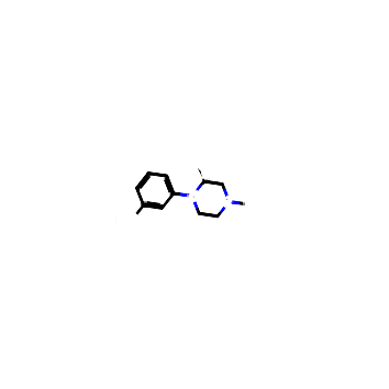 Cc1cccc(N2CCN(C(=O)O)C[C@@H]2C)c1